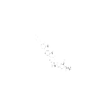 CC1CCC(c2ccc(-c3ccc(C4CCC(C(F)(F)Oc5ccc(OC(F)(F)F)c(F)c5)CC4)c(F)c3)c(F)c2)CC1